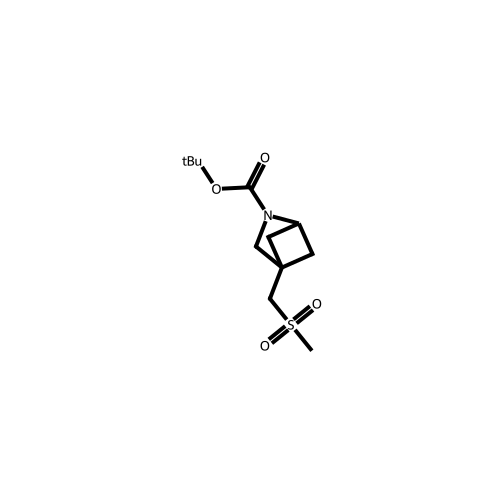 CC(C)(C)OC(=O)N1CC2(CS(C)(=O)=O)CC1C2